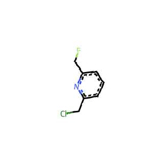 FCc1cccc(CCl)n1